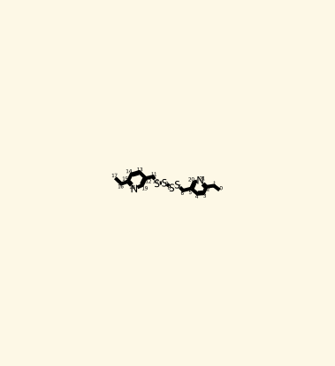 CCc1ccc(CSSSSCc2ccc(CC)nc2)cn1